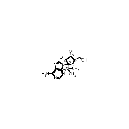 C[Si](C)(C)[C@@]1(n2cnc3c(N)ncnc32)O[C@H](CO)[C@@H](O)[C@H]1O